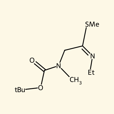 CC/N=C(\CN(C)C(=O)OC(C)(C)C)SC